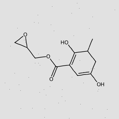 CC1CC(O)=CC(C(=O)OCC2CO2)=C1O